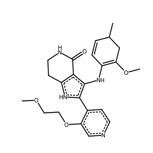 COCCOc1cnccc1-c1[nH]c2c(c1NC1=C(OC)CC(C)C=C1)C(=O)NCC2